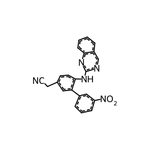 N#CCc1ccc(Nc2ncc3ccccc3n2)c(-c2cccc([N+](=O)[O-])c2)c1